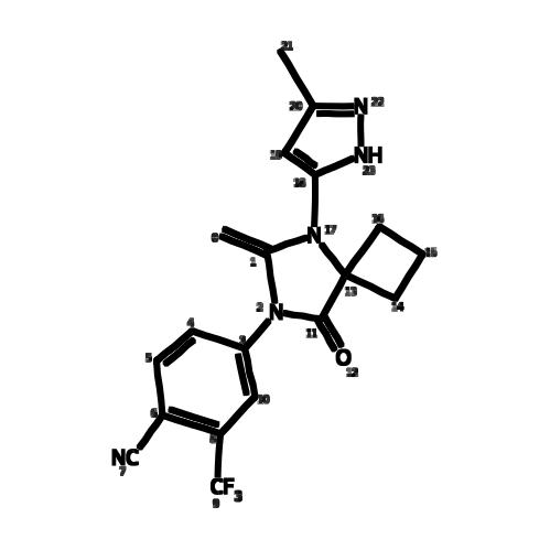 C=C1N(c2ccc(C#N)c(C(F)(F)F)c2)C(=O)C2(CCC2)N1c1cc(C)n[nH]1